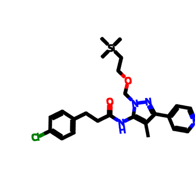 Cc1c(-c2ccncc2)nn(COCC[Si](C)(C)C)c1NC(=O)CCc1ccc(Cl)cc1